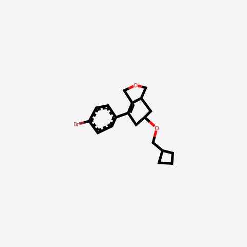 Brc1ccc(C2=C3COCC3CC(OCC3CCC3)C2)cc1